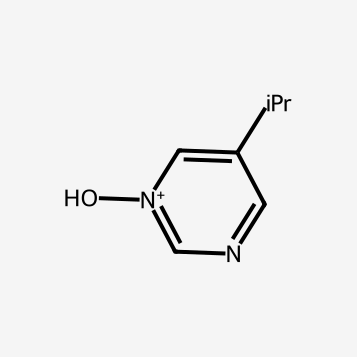 CC(C)c1cnc[n+](O)c1